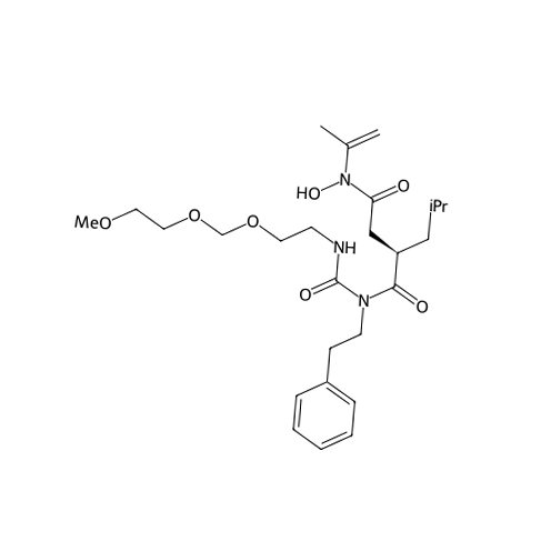 C=C(C)N(O)C(=O)C[C@@H](CC(C)C)C(=O)N(CCc1ccccc1)C(=O)NCCOCOCCOC